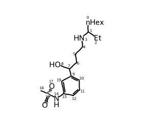 CCCCCCC(CC)NCCCC(O)c1cccc(NS(C)(=O)=O)c1